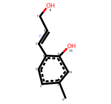 Cc1ccc(/C=C/CO)c(O)c1